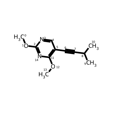 COc1ncc(C#CC(C)C)c(OC)n1